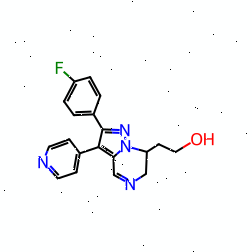 OCCC1CN=Cc2c(-c3ccncc3)c(-c3ccc(F)cc3)nn21